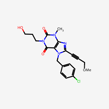 COCC#Cc1nc2c(c(=O)n(CCCO)c(=O)n2C)n1Cc1ccc(Cl)cc1